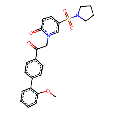 COc1ccccc1-c1ccc(C(=O)Cn2cc(S(=O)(=O)N3CCCC3)ccc2=O)cc1